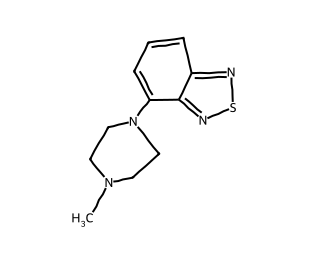 CN1CCN(c2cccc3nsnc23)CC1